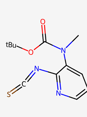 CN(C(=O)OC(C)(C)C)c1cccnc1N=C=S